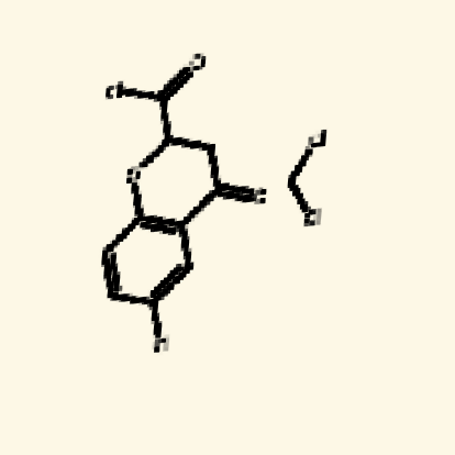 ClCCl.O=C1CC(C(=O)Cl)Oc2ccc(Cl)cc21